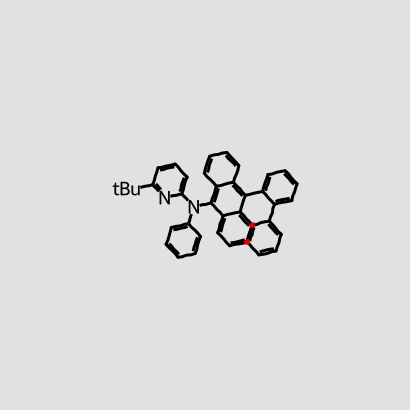 CC(C)(C)c1cccc(N(c2ccccc2)c2c3ccccc3c(-c3ccccc3-c3ccccc3)c3ccccc23)n1